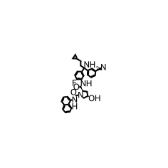 N#Cc1cccc(C(N)(CCC2CC2)c2ccc(F)c(NC(=O)[C@H]3C[C@@H](O)CN3C(=O)Nc3cccc4ccccc34)c2)c1